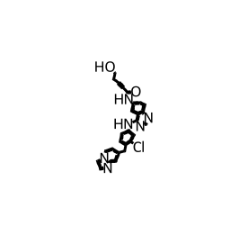 O=C(C#CCCO)Nc1ccc2ncnc(Nc3ccc(Cc4ccn5ccnc5c4)c(Cl)c3)c2c1